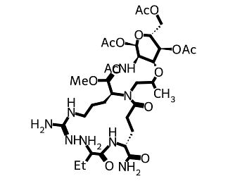 CCC(N)C(=O)N[C@H](CCC(=O)N(CC(C)O[C@@H]1[C@@H](NC(C)=O)[C@@H](OC(C)=O)O[C@H](COC(C)=O)[C@H]1OC(C)=O)[C@@H](CCCNC(=N)N)C(=O)OC)C(N)=O